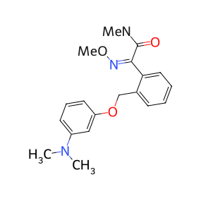 CNC(=O)C(=NOC)c1ccccc1COc1cccc(N(C)C)c1